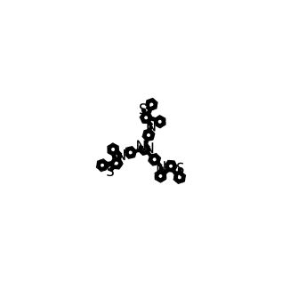 c1ccc2c(c1)sc1ccc3c(c4ccccc4n3-c3ccc(-c4cc(-c5ccc(-n6c7ccccc7c7c8c(ccc76)sc6ccccc68)cc5)nc(-c5ccc(-n6c7ccccc7c7c8c(ccc76)sc6ccccc68)cc5)n4)cc3)c12